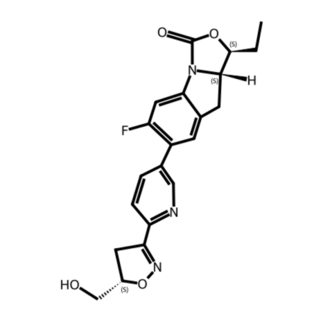 CC[C@@H]1OC(=O)N2c3cc(F)c(-c4ccc(C5=NO[C@H](CO)C5)nc4)cc3C[C@@H]12